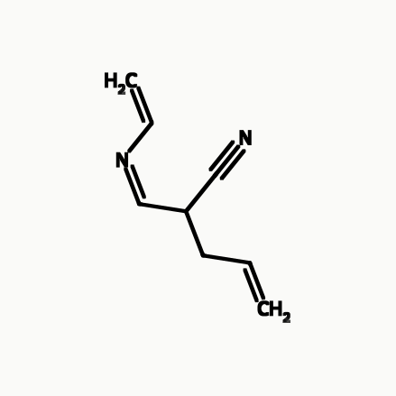 C=CCC(C#N)/C=N\C=C